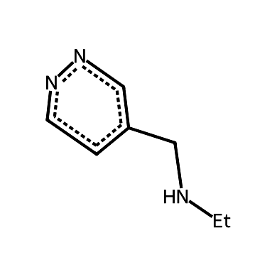 CCNCc1ccnnc1